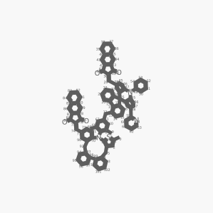 Cc1cc2c(s1)N(c1c(C)cc(Cc3cccc4c3-c3ccccc3C43c4cc(C=C5C(=O)c6cc7ccccc7cc6C5=O)ccc4N(c4ccccc4)c4ccc(-c5ccccn5)cc43)cc1C)c1ccc(C=C3C(=O)c4cc5ccccc5cc4C3=O)cc1Cc1ccccc1-c1ccccc1C2